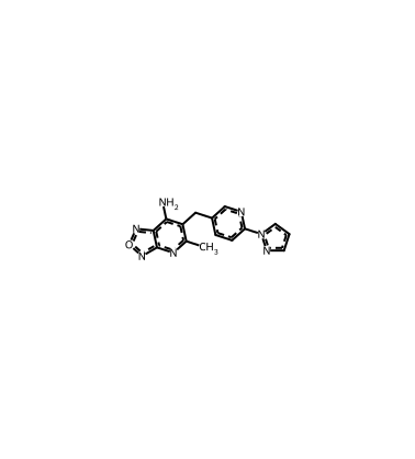 Cc1nc2nonc2c(N)c1Cc1ccc(-n2cccn2)nc1